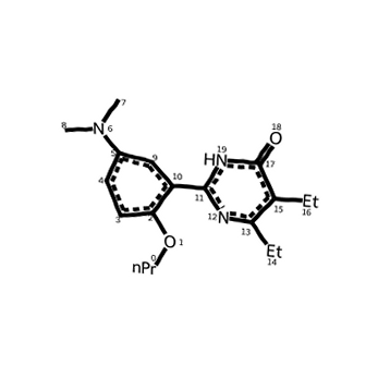 CCCOc1ccc(N(C)C)cc1-c1nc(CC)c(CC)c(=O)[nH]1